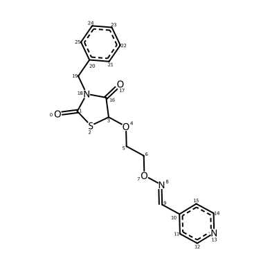 O=C1SC(OCCON=Cc2ccncc2)C(=O)N1Cc1ccccc1